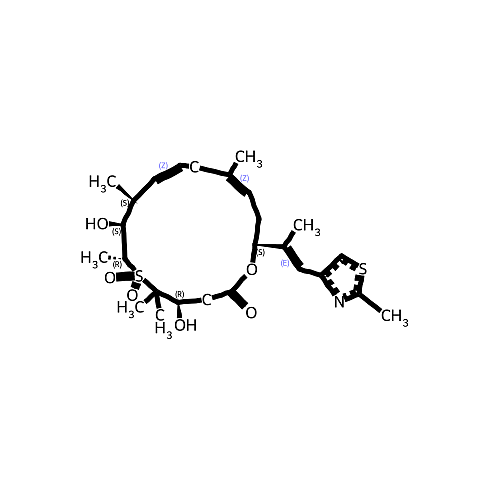 C/C1=C/C[C@@H](/C(C)=C/c2csc(C)n2)OC(=O)C[C@@H](O)C(C)(C)S(=O)(=O)[C@H](C)[C@@H](O)[C@@H](C)/C=C\C1